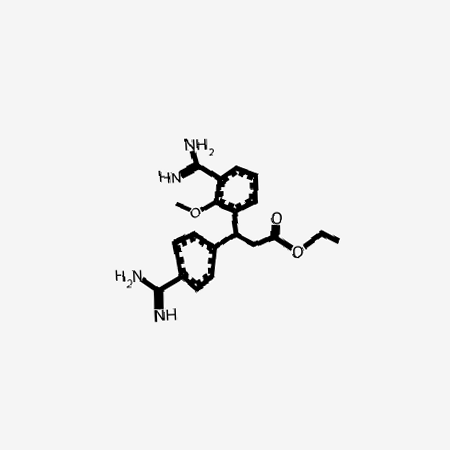 CCOC(=O)CC(c1ccc(C(=N)N)cc1)c1cccc(C(=N)N)c1OC